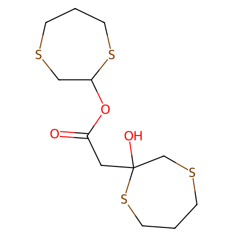 O=C(CC1(O)CSCCCS1)OC1CSCCCS1